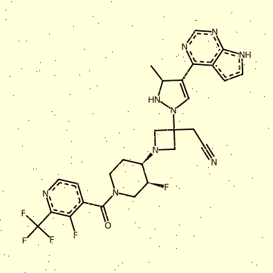 CC1NN(C2(CC#N)CN([C@@H]3CCN(C(=O)c4ccnc(C(F)(F)F)c4F)C[C@@H]3F)C2)C=C1c1ncnc2[nH]ccc12